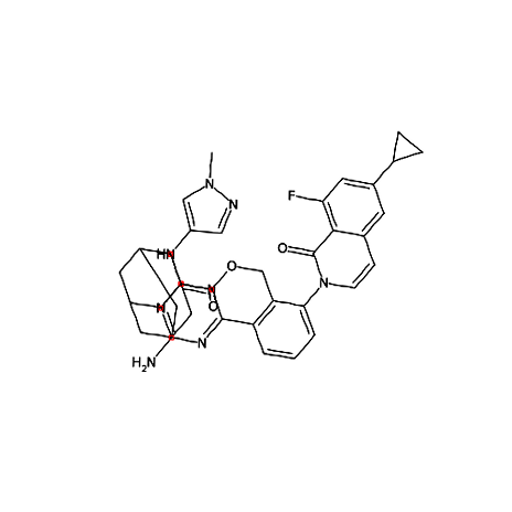 Cn1cc(Nc2nc(N)nc(-c3cccc(-n4ccc5cc(C6CC6)cc(F)c5c4=O)c3COC(=O)C34CC5CC(CC(C5)C3)C4)n2)cn1